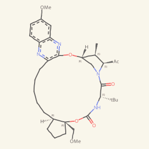 COC[C@@]12CCC[C@H]1CCCCCc1nc3ccc(OC)cc3nc1O[C@H]1CN(C(=O)[C@H](C(C)(C)C)NC(=O)O2)[C@H](C(C)=O)[C@@H]1C